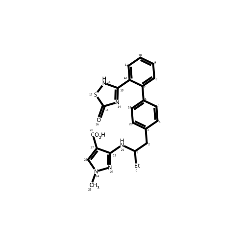 CCC(Cc1ccc(-c2ccccc2-c2nc(=O)s[nH]2)cc1)Nc1nn(C)cc1C(=O)O